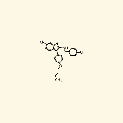 CCCCOc1ccc(-n2c(NCc3ccc(Cl)cc3)nc3cc(Cl)ccc32)cc1